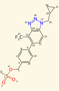 CS(=O)(=O)OCc1ccc(-c2ccc3c(nnn3CC3CC3)c2C(F)(F)F)cc1